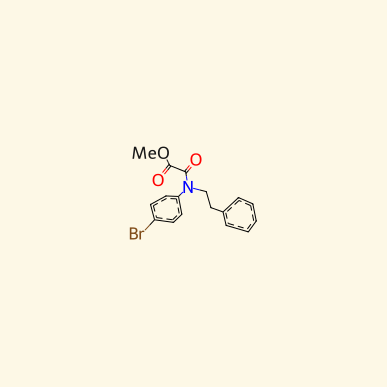 COC(=O)C(=O)N(CCc1ccccc1)c1ccc(Br)cc1